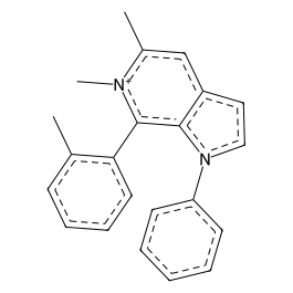 Cc1ccccc1-c1c2c(ccn2-c2ccccc2)cc(C)[n+]1C